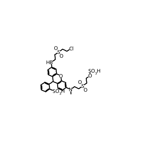 CN(CCS(=O)(=O)CCOS(=O)(=O)O)c1ccc2c(c1)Oc1cc(BCCS(=O)(=O)CCCl)ccc1C2c1ccccc1S(=O)(=O)O